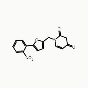 O=C1C=CN(Cc2ccc(-c3ccccc3[N+](=O)[O-])o2)C(=O)C1